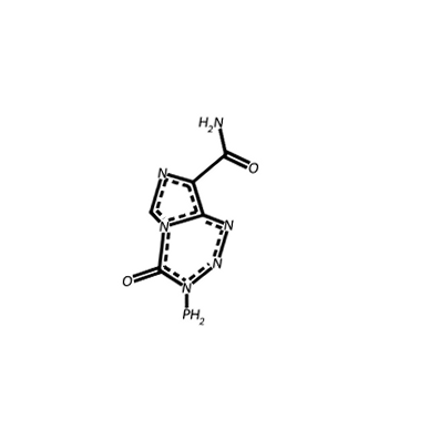 NC(=O)c1ncn2c(=O)n(P)nnc12